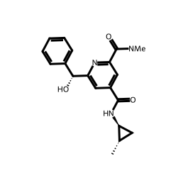 CNC(=O)c1cc(C(=O)N[C@H]2C[C@@H]2C)cc([C@H](O)c2ccccc2)n1